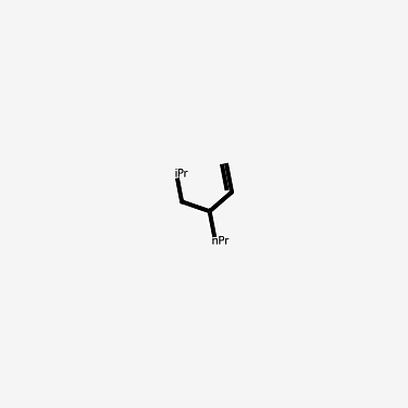 C=C[C](CCC)CC(C)C